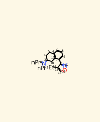 CCCN(CCC)C1CCc2cccc(-c3nocc3CC)c2C1